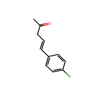 CC(=O)CC=Cc1ccc(F)cc1